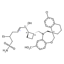 CCC(C/C=C/[C@H](O)[C@@H]1CC[C@H]1CN1C[C@@]2(CCCc3cc(Cl)ccc32)COc2ccc(C(=O)O)cc21)CS(N)(=O)=O